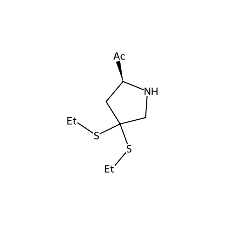 CCSC1(SCC)CN[C@H](C(C)=O)C1